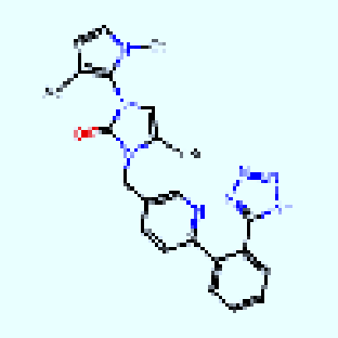 CCCCc1cn(-c2c(C(C)=O)ccn2CC)c(=O)n1Cc1ccc(-c2ccccc2-c2nnn[nH]2)nc1